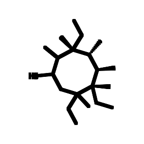 CCC1(C)CC(S)C(C)[C@](C)(CC)[C@H](C)[C@@H](C)[C@]1(C)CC